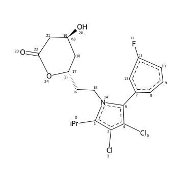 CC(C)c1c(Cl)c(Cl)c(-c2cccc(F)c2)n1CC[C@H]1C[C@H](O)CC(=O)O1